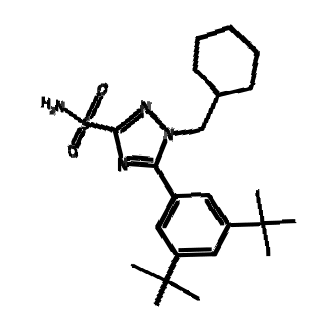 CC(C)(C)c1cc(-c2nc(S(N)(=O)=O)nn2CC2CCCCC2)cc(C(C)(C)C)c1